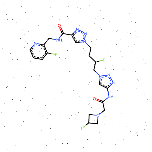 O=C(CN1CC(F)C1)Nc1cn(CC(F)CCn2cc(C(=O)NCc3ncccc3F)nn2)nn1